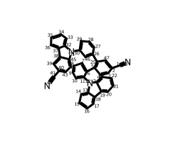 N#Cc1ccc(-c2ccccc2-n2c3ccccc3c3ccccc32)c(-c2cccc(-n3c4ccccc4c4cc(C#N)ccc43)c2)c1